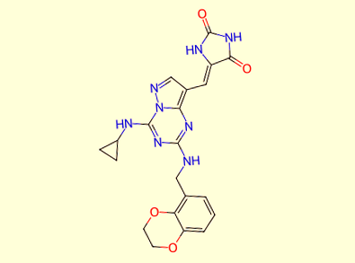 O=C1NC(=O)/C(=C/c2cnn3c(NC4CC4)nc(NCc4cccc5c4OCCO5)nc23)N1